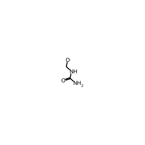 NC(=O)NC[O]